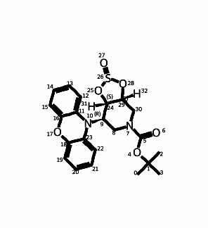 CC(C)(C)OC(=O)N1C[C@@H](N2c3ccccc3Oc3ccccc32)[C@@H]2OS(=O)O[C@@H]2C1